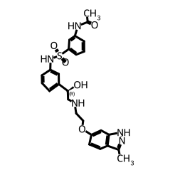 CC(=O)Nc1cccc(S(=O)(=O)Nc2cccc([C@@H](O)CNCCOc3ccc4c(C)n[nH]c4c3)c2)c1